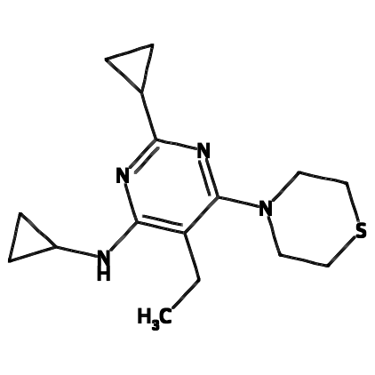 CCc1c(NC2CC2)nc(C2CC2)nc1N1CCSCC1